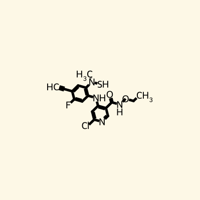 C#Cc1cc(N(C)S)c(Nc2cc(Cl)ncc2C(=O)NOCC)cc1F